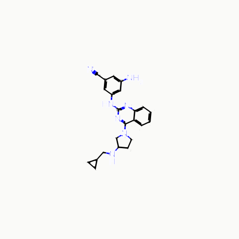 N#Cc1cc(N)cc(Nc2nc(N3CCC(NCC4CC4)C3)c3ccccc3n2)c1